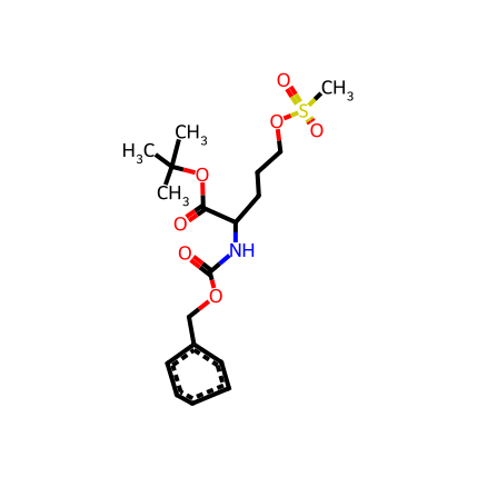 CC(C)(C)OC(=O)C(CCCOS(C)(=O)=O)NC(=O)OCc1ccccc1